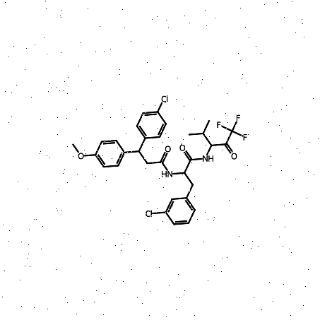 COc1ccc(C(CC(=O)NC(Cc2cccc(Cl)c2)C(=O)NC(C(=O)C(F)(F)F)C(C)C)c2ccc(Cl)cc2)cc1